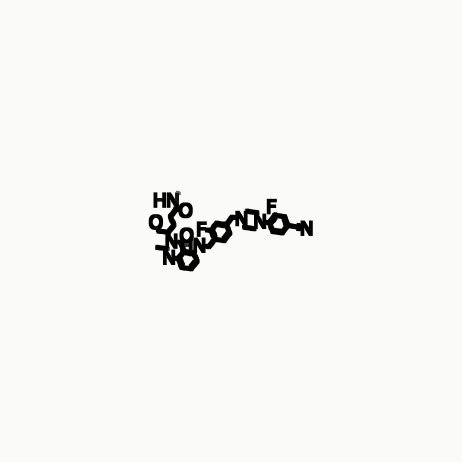 CNC(=O)CCC(C=O)n1c(C)nc2cccc(NCc3ccc(CN4CCN(c5ccc(C#N)cc5F)CC4)cc3F)c2c1=O